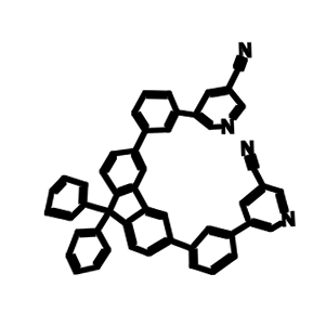 N#Cc1cncc(-c2cccc(-c3ccc4c(c3)-c3cc(-c5cccc(-c6cncc(C#N)c6)c5)ccc3C4(c3ccccc3)c3ccccc3)c2)c1